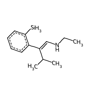 CCNC=C(c1ccccc1[SiH3])C(C)C